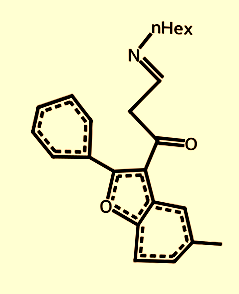 CCCCCCN=CCC(=O)c1c(-c2ccccc2)oc2ccc(C)cc12